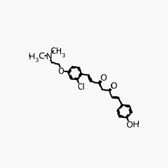 CN(C)CCOc1ccc(C=CC(=O)CC(=O)C=Cc2ccc(O)cc2)c(Cl)c1